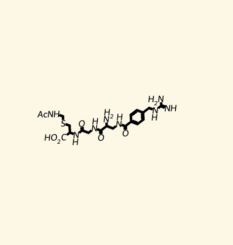 CC(=O)NCSCC(NC(=O)CNC(=O)C(N)CNC(=O)c1ccc(CNC(=N)N)cc1)C(=O)O